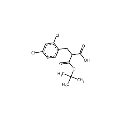 CC(C)(C)OC(=O)C(Cc1ccc(Cl)cc1Cl)C(=O)O